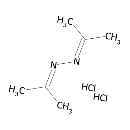 CC(C)=NN=C(C)C.Cl.Cl